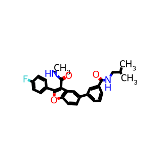 CNC(=O)c1c(-c2ccc(F)cc2)oc2ccc(-c3cccc(C(=O)NCC(C)C)c3)cc12